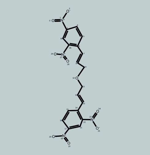 O=[N+]([O-])c1ccc(C=CCOCC=Cc2ccc([N+](=O)[O-])cc2[N+](=O)[O-])c([N+](=O)[O-])c1